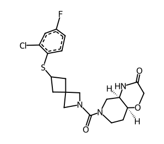 O=C1CO[C@H]2CCN(C(=O)N3CC4(CC(Sc5ccc(F)cc5Cl)C4)C3)C[C@H]2N1